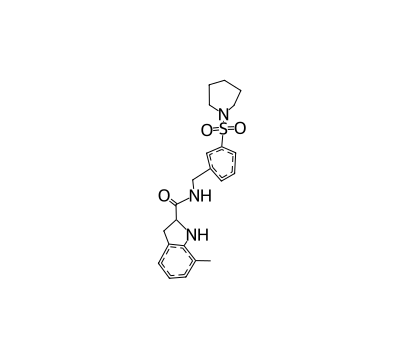 Cc1cccc2c1NC(C(=O)NCc1cccc(S(=O)(=O)N3CCCCC3)c1)C2